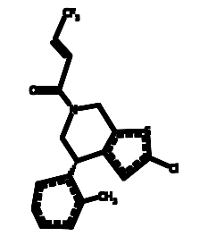 Cc1ccccc1[C@@H]1CN(C(=O)/C=C/C(F)(F)F)Cc2sc(Cl)cc21